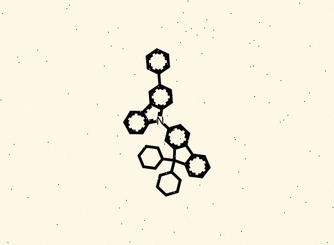 c1ccc(-c2ccc3c(c2)c2ccccc2n3-c2ccc3c(c2)C(C2CCCCC2)(C2CCCCC2)c2ccccc2-3)cc1